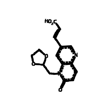 O=C(O)C=Cc1cnc2ccc(=O)n(CC3OCCO3)c2c1